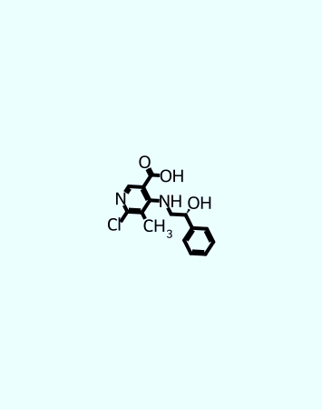 Cc1c(Cl)ncc(C(=O)O)c1NC[C@H](O)c1ccccc1